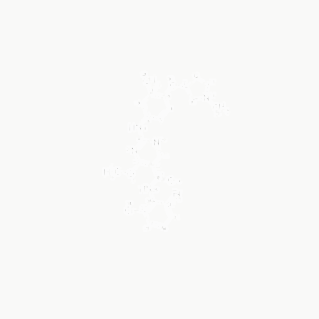 COc1nc(Nc2ccc(OC3CCN(C)C3)c(C)c2)ncc1C(=O)Nc1c(Cl)cccc1Br